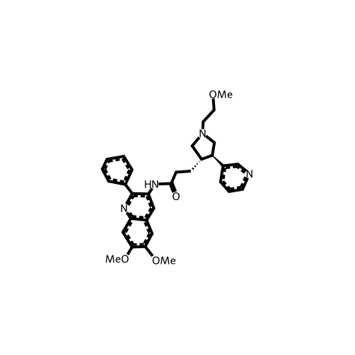 COCCN1C[C@@H](CCC(=O)Nc2cc3cc(OC)c(OC)cc3nc2-c2ccccc2)[C@H](c2cccnc2)C1